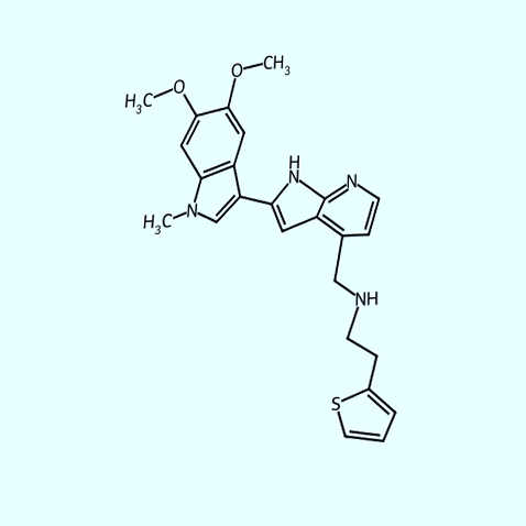 COc1cc2c(-c3cc4c(CNCCc5cccs5)ccnc4[nH]3)cn(C)c2cc1OC